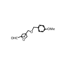 COc1ccc(COCC23COC(C=O)(C2)C3)cc1